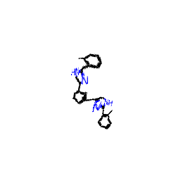 Cc1ccccc1-c1nc(-c2cccc(-c3c[nH]c(-c4ccccc4C)n3)c2)c[nH]1